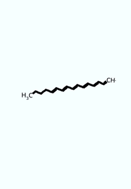 [CH]=CC=CC=CC=CC=CC=CCCCC